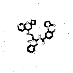 O=C(N[C@@H](Cc1ccccc1)[C@H](O)CN[C@@H]1CC2(CCC2)Oc2cnccc21)c1ccc(F)c(N2CCCC2=O)c1